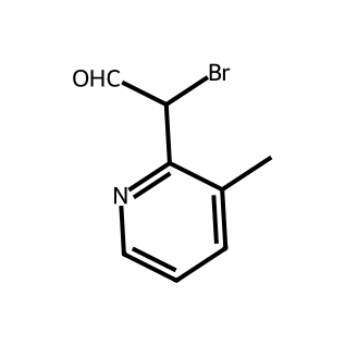 Cc1cccnc1C(Br)C=O